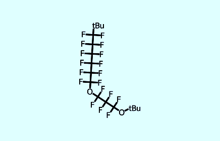 CC(C)(C)OC(F)(F)C(F)(F)C(F)(F)OC(F)(F)C(F)(F)C(F)(F)C(F)(F)C(F)(F)C(F)(F)C(C)(C)C